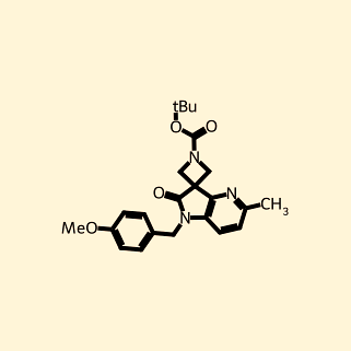 COc1ccc(CN2C(=O)C3(CN(C(=O)OC(C)(C)C)C3)c3nc(C)ccc32)cc1